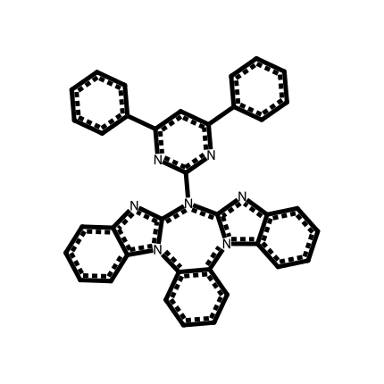 c1ccc(-c2cc(-c3ccccc3)nc(-n3c4nc5ccccc5n4c4ccccc4n4c5ccccc5nc34)n2)cc1